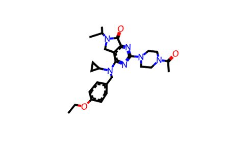 CCOc1ccc(CN(c2nc(N3CCN(C(C)=O)CC3)nc3c2CN(C(C)C)C3=O)C2CC2)cc1